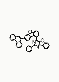 c1ccc(-c2nc(-c3cccc4oc5cc(-c6cc7ccccc7c7ccccc67)ccc5c34)c3oc4ccccc4c3n2)cc1